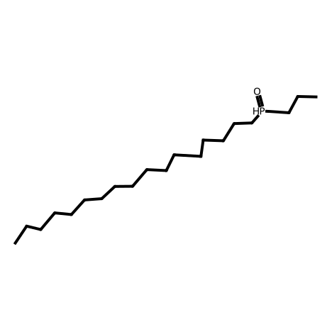 CCCCCCCCCCCCCCCCC[PH](=O)CCC